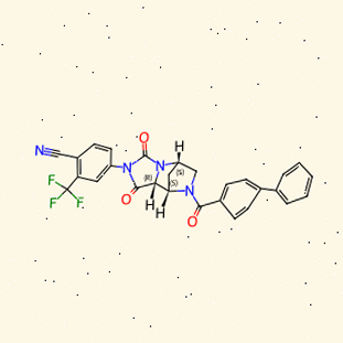 N#Cc1ccc(N2C(=O)[C@H]3[C@@H]4C[C@@H](CN4C(=O)c4ccc(-c5ccccc5)cc4)N3C2=O)cc1C(F)(F)F